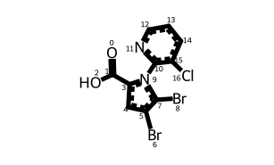 O=C(O)c1cc(Br)c(Br)n1-c1ncccc1Cl